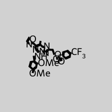 COc1ccc(CNc2nc(-c3ncco3)c(C)c3nc(CCOS(=O)(=O)c4ccc(C(F)(F)F)cc4)nn23)c(OC)c1